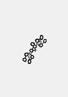 CC1(C)c2cc(N(c3cccc(-c4ccccc4)c3)c3cccc4c3sc3ccccc34)ccc2-c2c1cc(N(c1cccc(-c3ccccc3)c1)c1cccc3c1sc1ccccc13)c1ccccc21